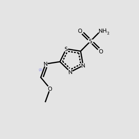 CO/C=N\c1nnc(S(N)(=O)=O)s1